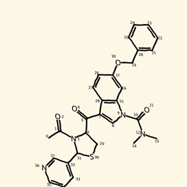 CC(=O)N1C(C(=O)c2cn(C(=O)N(C)C)c3cc(OCc4ccccc4)ccc23)CSC1c1cccnc1